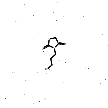 O=C1CSC(=O)N1CCCBr